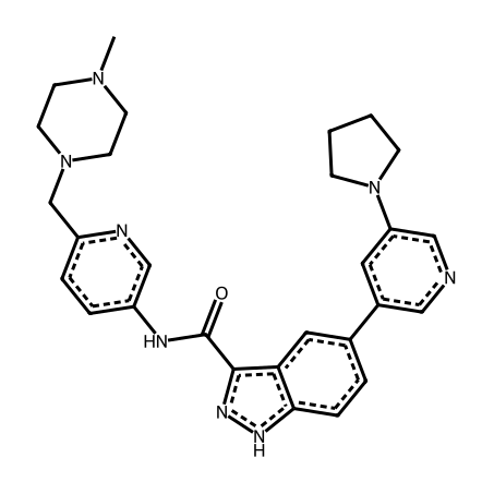 CN1CCN(Cc2ccc(NC(=O)c3n[nH]c4ccc(-c5cncc(N6CCCC6)c5)cc34)cn2)CC1